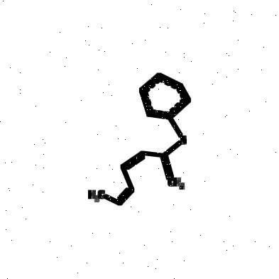 C=C(/C=C\C=C/C)Sc1ccccc1